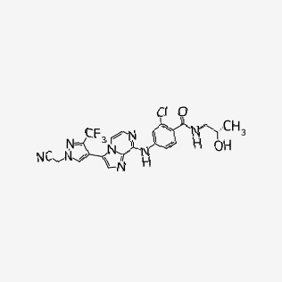 C[C@H](O)CNC(=O)c1ccc(Nc2nccn3c(-c4cn(CC#N)nc4C(F)(F)F)cnc23)cc1Cl